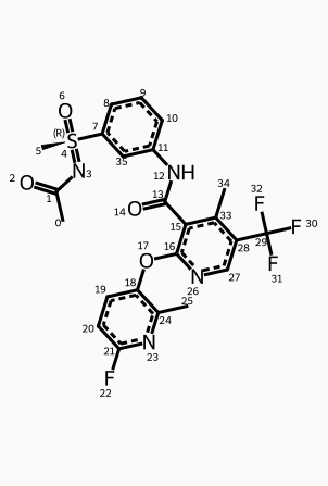 CC(=O)N=[S@](C)(=O)c1cccc(NC(=O)c2c(Oc3ccc(F)nc3C)ncc(C(F)(F)F)c2C)c1